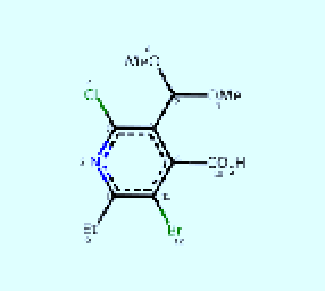 CCc1nc(Cl)c(C(OC)OC)c(C(=O)O)c1Br